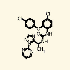 C[C@H](NC(=O)Nc1ccc(Cl)cc1Oc1ccc(Cl)cc1)c1ncnn1-c1ncccn1